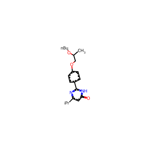 CCCCOC(C)COc1ccc(-c2nc(C(C)C)cc(=O)[nH]2)cc1